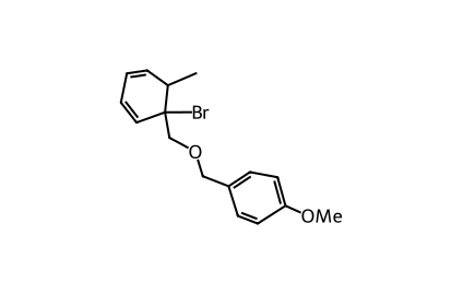 COc1ccc(COCC2(Br)C=CC=CC2C)cc1